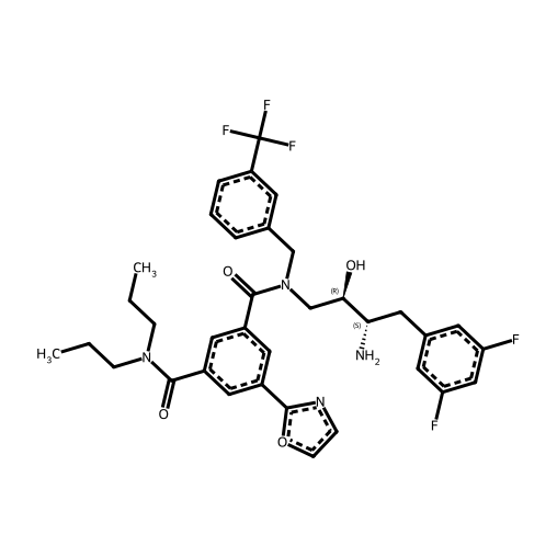 CCCN(CCC)C(=O)c1cc(C(=O)N(Cc2cccc(C(F)(F)F)c2)C[C@@H](O)[C@@H](N)Cc2cc(F)cc(F)c2)cc(-c2ncco2)c1